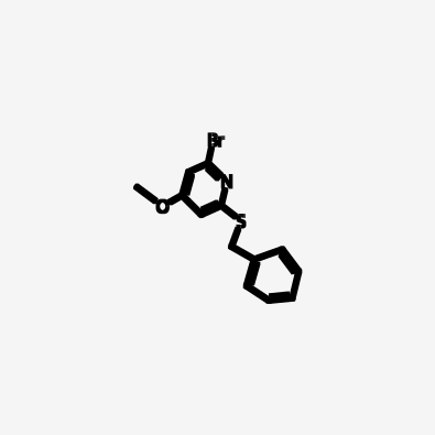 COc1cc(Br)nc(SCc2ccccc2)c1